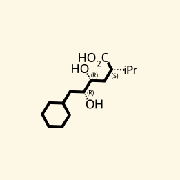 CC(C)[C@H](C[C@@H](O)[C@H](O)CC1CCCCC1)C(=O)O